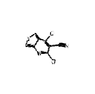 N#Cc1c(Cl)nc2cscc2c1Cl